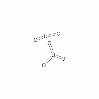 [O]=[U](=[O])=[O].[O]=[U]=[O]